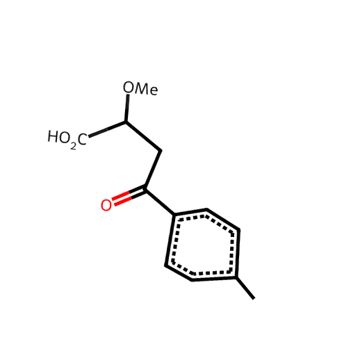 COC(CC(=O)c1ccc(C)cc1)C(=O)O